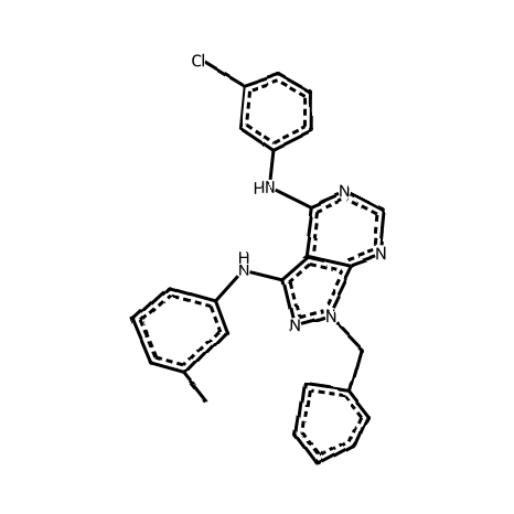 Cc1cccc(Nc2nn(Cc3ccccc3)c3ncnc(Nc4cccc(Cl)c4)c23)c1